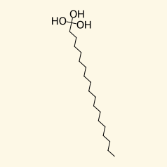 CCCCCCCCCCCCCCCCCCC(O)(O)O